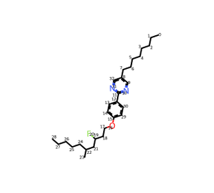 CCCCCCCCc1cnc(-c2ccc(OCCC(F)CC(C)CCCCC)cc2)nc1